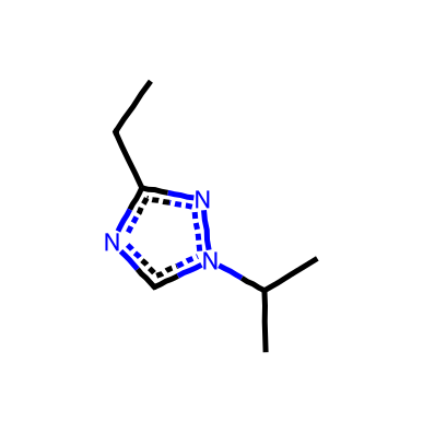 CCc1ncn(C(C)C)n1